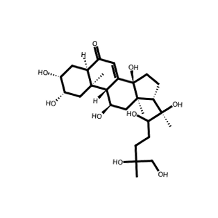 CC(O)(CO)CCC(O)[C@](C)(O)[C@H]1CC[C@@]2(O)C3=CC(=O)[C@@H]4C[C@@H](O)[C@@H](O)C[C@]4(C)[C@H]3[C@H](O)C[C@]12C